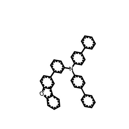 c1ccc(-c2ccc(N(c3ccc(-c4ccccc4)cc3)c3cccc(-c4ccc5oc6ccccc6c5c4)c3)cc2)cc1